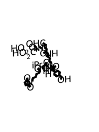 CC(C)C(NC(=O)CCCCCN1C(=O)C=CC1=O)C(=O)N[C@@H](CCCCNC(=O)CN(CC=O)CCN(CC(=O)O)CC(=O)O)C(=O)Nc1ccc(CO)cc1